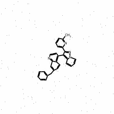 Cc1cccc(-c2nn3ccccc3c2-c2ccnc3cc(Cc4ccccc4)ccc23)n1